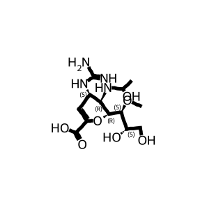 CO[C@H]([C@@H]1OC(C(=O)O)=C[C@H](NC(=N)N)[C@H]1NC(C)O)[C@@H](O)CO